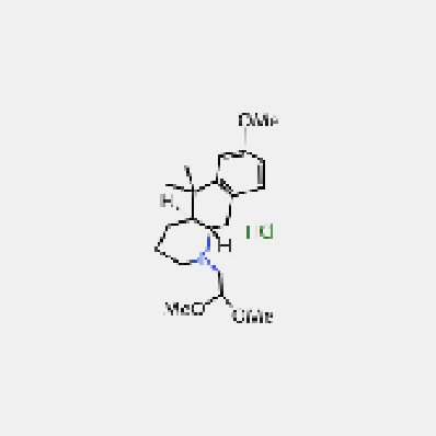 COc1ccc2c(c1)C(C)(C)[C@@H]1CCCN(CC(OC)OC)[C@H]1C2.Cl